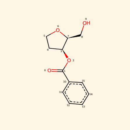 O=C(O[C@H]1CCO[C@H]1CO)c1ccccc1